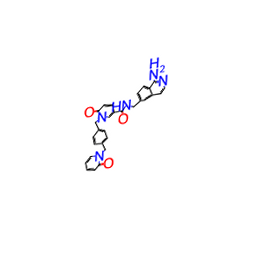 Nc1nccc2cc(CNC(=O)c3ccc(=O)n(Cc4ccc(Cn5ccccc5=O)cc4)c3)ccc12